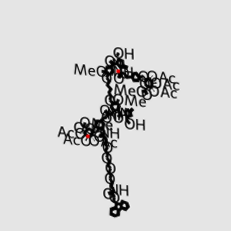 C=C1C[C@@H](CO)N(C(=O)c2cc(OC)c(OCCCCCOc3cc(NC(=O)OCc4ccc(O[C@@H]5O[C@H](C(=O)OC)[C@@H](OC(C)=O)[C@H](OC(C)=O)[C@H]5OC(C)=O)c(NC(=O)CCOCCOCCOCCOCCNC(=O)OCC5c6ccccc6-c6ccccc65)c4)c(C(=O)N4CC(=C)C[C@H]4CO)cc3OC)cc2NC(=O)OCc2ccc(O[C@@H]3O[C@H](C(=O)OC)[C@@H](OC(C)=O)[C@H](OC(C)=O)[C@H]3OC(C)=O)cc2)C1